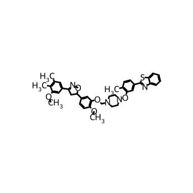 COc1ccc(C2CC(c3cc(C)c(C)c(OC)c3)=NO2)cc1OCN1CCN(Oc2cc(-c3nc4ccccc4s3)ccc2C)CC1